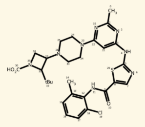 Cc1nc(Nc2ncc(C(=O)Nc3c(C)cccc3Cl)s2)cc(N2CCN(C3CN(C(=O)O)C3C(C)(C)C)CC2)n1